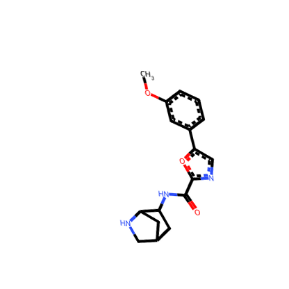 COc1cccc(-c2cnc(C(=O)NC3CC4CNC3C4)o2)c1